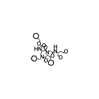 O=CC[C@@H](C=O)NC(=O)CN1C(=O)[C@@H](NC(=O)OCc2ccccc2)CN(Cc2ccccc2)C(=O)[C@@H]1Cc1ccccc1